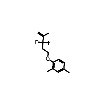 C=C(C)C(F)(F)CCOc1ccc(C)cc1C